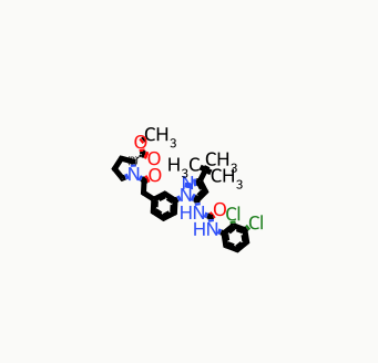 COC(=O)[C@H]1CCCN1C(=O)Cc1cccc(-n2nc(C(C)(C)C)cc2NC(=O)Nc2cccc(Cl)c2Cl)c1